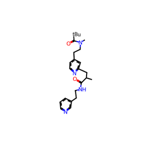 CC(Cc1cc(CCN(C)C(=O)C(C)(C)C)ccn1)C(=O)NCCc1cccnc1